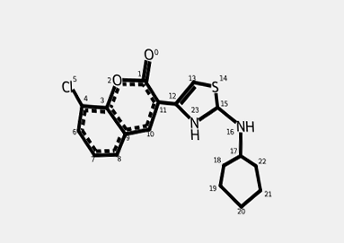 O=c1oc2c(Cl)cccc2cc1C1=CSC(NC2CCCCC2)N1